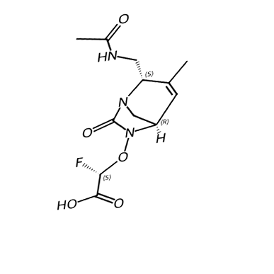 CC(=O)NC[C@@H]1C(C)=C[C@@H]2CN1C(=O)N2O[C@@H](F)C(=O)O